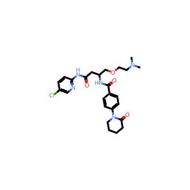 CN(C)CCOCC(CC(=O)Nc1ccc(Cl)cn1)NC(=O)c1ccc(N2CCCCC2=O)cc1